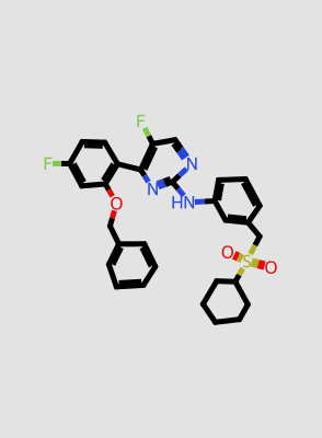 O=S(=O)(Cc1cccc(Nc2ncc(F)c(-c3ccc(F)cc3OCc3ccccc3)n2)c1)C1CCCCC1